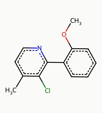 COc1ccccc1-c1nccc(C)c1Cl